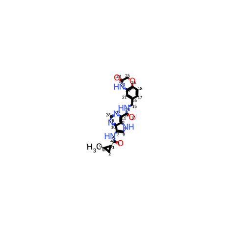 C[C@H]1C[C@H]1C(=O)Nc1c[nH]c2c(C(=O)NCc3ccc4c(c3)NC(=O)CO4)ncnc12